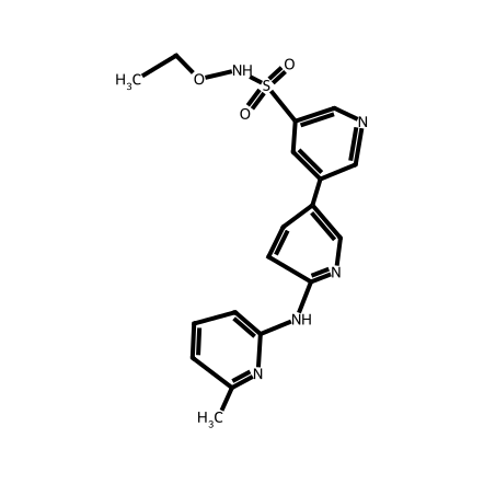 CCONS(=O)(=O)c1cncc(-c2ccc(Nc3cccc(C)n3)nc2)c1